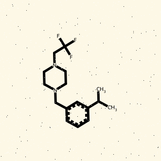 CC(C)c1cccc(CN2CCN(CC(F)(F)F)CC2)c1